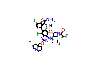 CN1c2nc(OCC34CCCN3C[C@H](F)C4)nc3c(F)c(-c4ccc(F)c5sc(N)c(C#N)c45)c(Cl)c(c23)OC2CN(C(=O)C(F)F)CC21